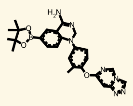 Cc1cc(N2CN=C(N)c3cc(B4OC(C)(C)C(C)(C)O4)ccc32)ccc1Oc1cc2nncn2cn1